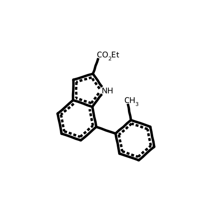 CCOC(=O)c1cc2cccc(-c3ccccc3C)c2[nH]1